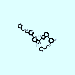 Fc1cc(OCCN2CCCC2)cc(-c2cccc3[nH]c(-c4n[nH]c5ccc(-c6cncc(CNCC7CCCC7)c6)nc45)cc23)c1